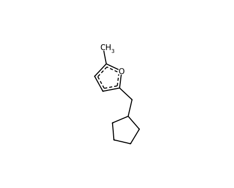 Cc1ccc(CC2CCCC2)o1